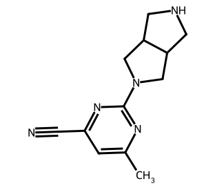 Cc1cc(C#N)nc(N2CC3CNCC3C2)n1